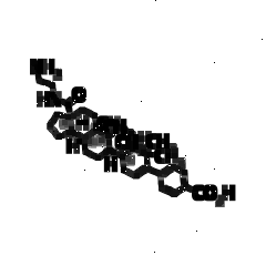 CC1(C)C(c2ccc(C(=O)O)cc2)=CC[C@]2(C)[C@H]3CC[C@@H]4[C@H]5CCC[C@]5(C(=O)NCCN)CC[C@@]4(C)[C@]3(C)CC[C@@H]12